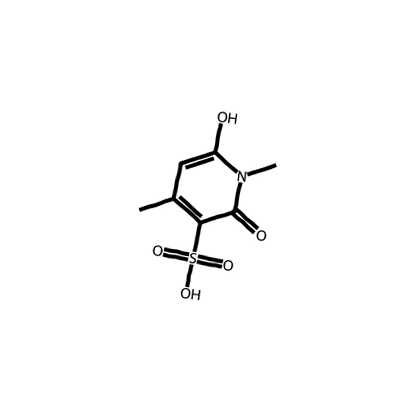 Cc1cc(O)n(C)c(=O)c1S(=O)(=O)O